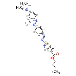 CCCCOC(=O)c1cc2sc(N=Nc3ccc(N=Nc4ccc(N(CC)CC)cc4C)cc3)nc2s1